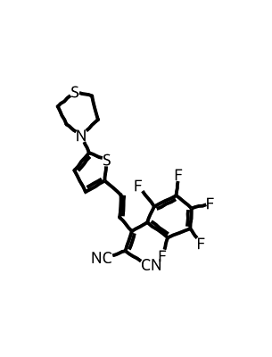 N#CC(C#N)=C(/C=C/c1ccc(N2CCSCC2)s1)c1c(F)c(F)c(F)c(F)c1F